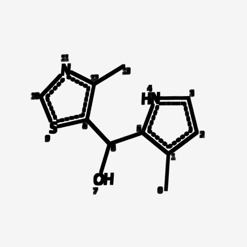 Cc1cc[nH]c1C(O)c1scnc1C